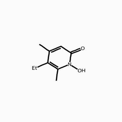 CCc1c(C)cc(=O)n(O)c1C